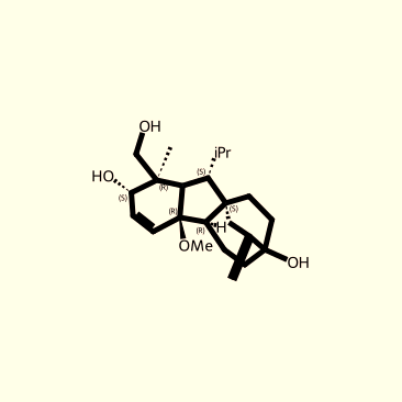 C=C1C[C@]23CCC1(O)CC[C@H]2[C@]1(OC)C=C[C@H](O)[C@@](C)(CO)C1[C@@H]3C(C)C